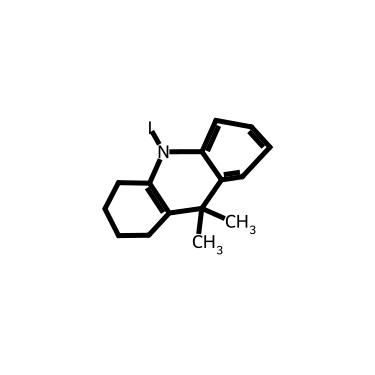 CC1(C)C2=C(CCCC2)N(I)c2ccccc21